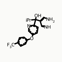 CC(C)C(O)(/C(C=N)=C/N)c1ccc(Oc2ccc(C(F)(F)F)cc2)cn1